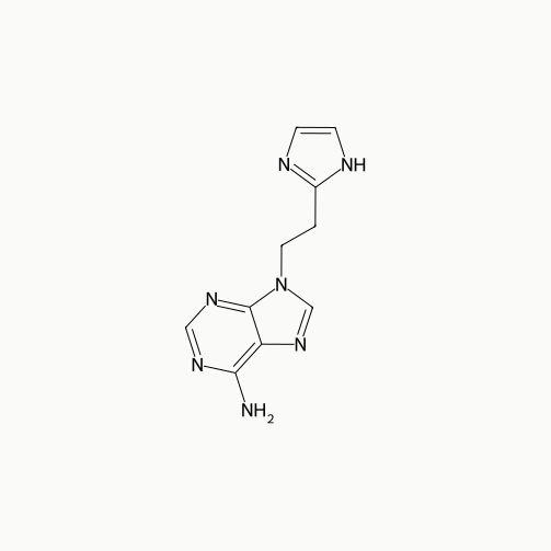 Nc1ncnc2c1ncn2CCc1ncc[nH]1